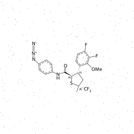 COc1c([C@@H]2C[C@](C)(C(F)(F)F)S[C@H]2C(=O)Nc2ccc(N=[N+]=[N-])cc2)ccc(F)c1F